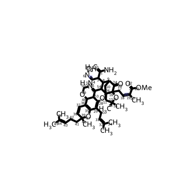 C=C(N)C(/C(N)=N\O)C1C2CC3C(C)(C)OC(C/C=C(/C)C(=O)OC)(C2=O)C32OC3=C(CC=C(C)C)C4=C(C=CC(C)(CCC=C(C)C)O4)C4OCN=C(C34)C12